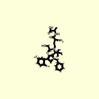 CC(NC(=O)C(N)CCN(C(=O)CO)C(c1cc(-c2cc(F)ccc2F)cn1Cc1ccccc1)C(C)(C)C)C(=O)O